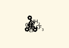 NC(Cn1c(=O)c(-c2ccccc2Cl)nn(Cc2c(F)cccc2C(F)(F)F)c1=O)c1ccccc1